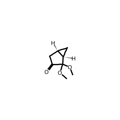 COC1(OC)C(=O)C[C@H]2C[C@H]21